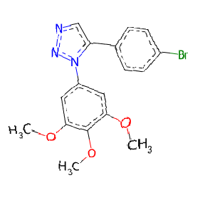 COc1cc(-n2nncc2-c2ccc(Br)cc2)cc(OC)c1OC